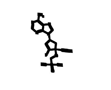 C#C[C@]1(OCP(=O)(O)O)C[C@@H](n2cnc3c(N)ncnc32)C=C1F